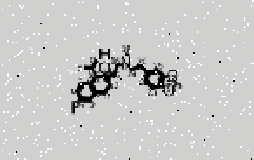 CC(C)[C@@H]1c2ccc(F)cc2CC[C@@]1(O)CCN(C)CCc1ccc2c(c1)OCO2